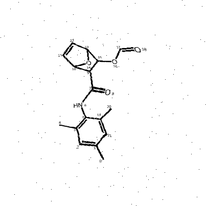 Cc1cc(C)c(NC(=O)C2C3C=CC(O3)C2OC=O)c(C)c1